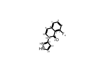 O=c1c2c(F)cccc2ccn1-c1cc[nH]n1